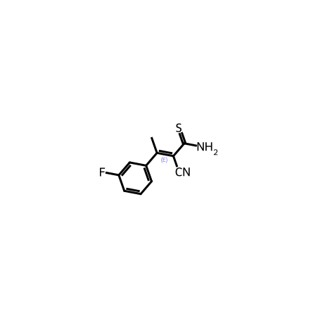 C/C(=C(/C#N)C(N)=S)c1cccc(F)c1